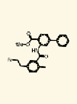 Cc1ccc(CCBr)cc1C(=O)Nc1cc(-c2ccccc2)ccc1C(=O)OC(C)(C)C